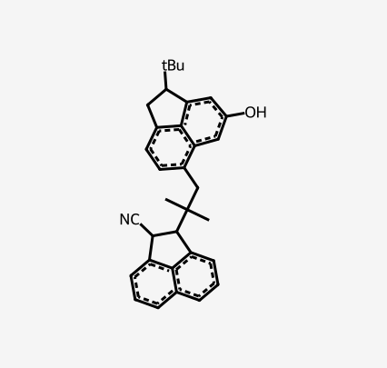 CC(C)(C)C1Cc2ccc(CC(C)(C)C3c4cccc5cccc(c45)C3C#N)c3cc(O)cc1c23